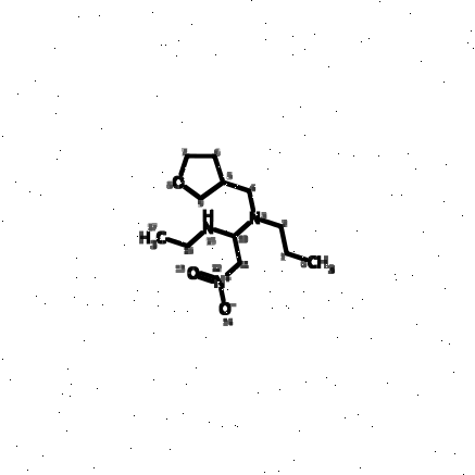 CCCN(CC1CCOC1)C(C[N+](=O)[O-])NCC